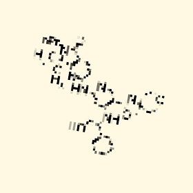 CCCN1C(=O)c2ccc(Nc3cc(N[C@H](CO)c4ccccc4)c(C4=NC5(CCOCC5)CO4)cn3)nc2C1(C)C